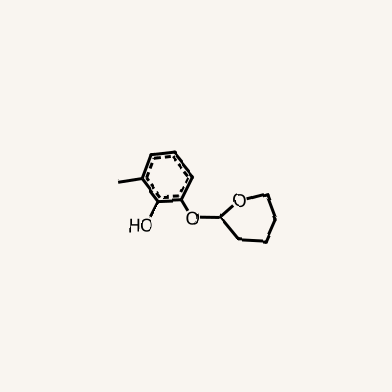 Cc1cccc(OC2CCCCO2)c1O